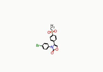 CS(=O)(=O)c1ccc(-c2coc(=O)n2-c2ccc(Br)cc2)cc1